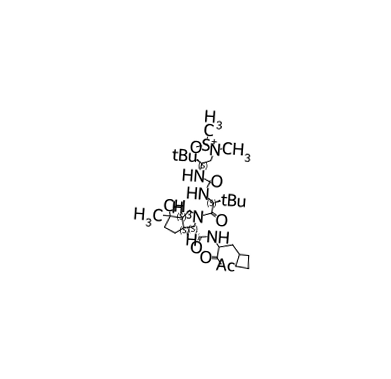 CC(=O)C(=O)C(CC1CCC1)NC(=O)[C@@H]1[C@H]2CCC(C)(C)[C@H]2CN1C(=O)[C@@H](NC(=O)N[C@H](CN(C)[S+](C)[O-])C(C)(C)C)C(C)(C)C